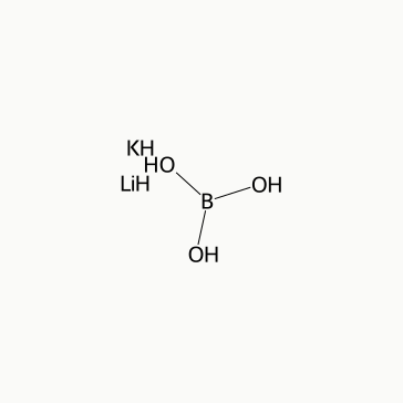 OB(O)O.[KH].[LiH]